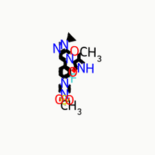 C[C@@H](Oc1nc(-c2ccc(N3CCN(S(C)(=O)=O)CC3)c(F)c2)cc2ncn(C3CC3)c12)C1CNC(=O)C1